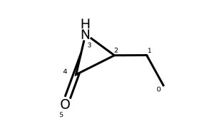 CCC1NC1=O